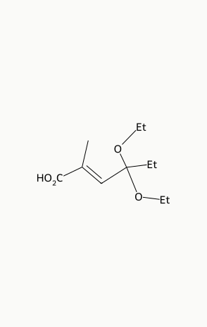 CCOC(C=C(C)C(=O)O)(CC)OCC